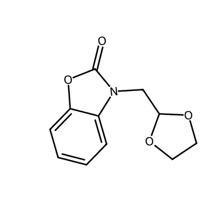 O=c1oc2ccccc2n1CC1OCCO1